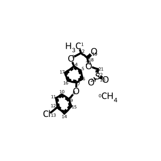 C.CC(Oc1ccc(Oc2ccc(Cl)cc2)cc1)C(=O)OC=S(=O)=O